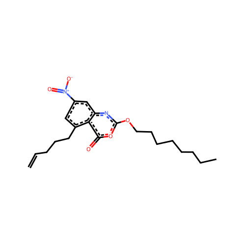 C=CCCCc1cc([N+](=O)[O-])cc2nc(OCCCCCCCC)oc(=O)c12